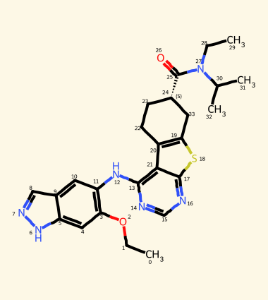 CCOc1cc2[nH]ncc2cc1Nc1ncnc2sc3c(c12)CC[C@H](C(=O)N(CC)C(C)C)C3